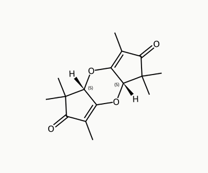 CC1=C2O[C@@H]3C(=C(C)C(=O)C3(C)C)O[C@H]2C(C)(C)C1=O